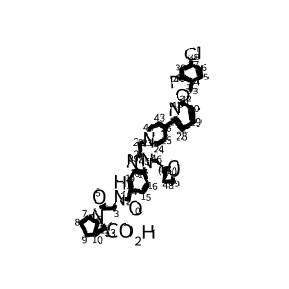 O=C(NCC(=O)N1C2CCC(C2)C1C(=O)O)c1ccc2c(c1)nc(CN1CCC(c3cccc(OCc4ccc(Cl)cc4F)n3)CC1)n2C[C@@H]1CCO1